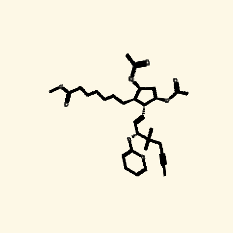 CC#CCC(C)(C)[C@@H](C=C[C@@H]1[C@@H](CCCCCCC(=O)OC)[C@@H](OC(C)=O)C[C@H]1OC(C)=O)OC1CCCCO1